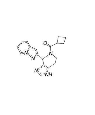 O=C(C1CCC1)N1CCc2[nH]cnc2C1c1cc2ccccn2n1